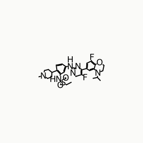 CCS(=O)(=O)Nc1cc(Nc2ncc(F)c(-c3cc(F)c4c(c3)N(C(C)C)CCO4)n2)ccc1C1CCN(C)CC1